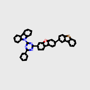 c1ccc(-c2nc(-c3ccc4c(c3)oc3cc(-c5ccc6sc7ccccc7c6c5)ccc34)nc(-n3c4ccccc4c4ccccc43)n2)cc1